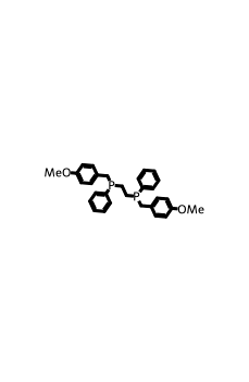 COc1ccc(CP(CCP(Cc2ccc(OC)cc2)c2ccccc2)c2ccccc2)cc1